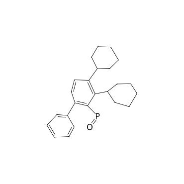 O=Pc1c(-c2ccccc2)ccc(C2CCCCC2)c1C1CCCCC1